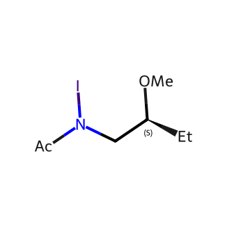 CC[C@@H](CN(I)C(C)=O)OC